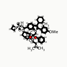 COc1ccc(-c2c(C3CCCCC3)c3ccc(C(=O)NS(=O)(=O)N4CCC4)cc3n2CC(C)(C)C(=O)N2C3CCC2CC(N(CCN(C)C)Cc2ccccc2)C3)c(C)c1